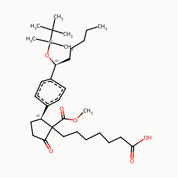 CCCCC[C@H](O[Si](C)(C)C(C)(C)C)c1ccc([C@@H]2CCC(=O)C2(CCCCCCC(=O)O)C(=O)OC)cc1